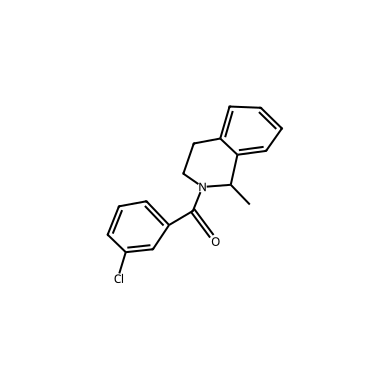 CC1c2ccccc2CCN1C(=O)c1cccc(Cl)c1